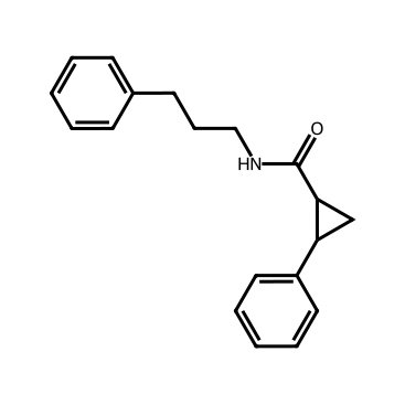 O=C(NCCCc1ccccc1)C1CC1c1ccccc1